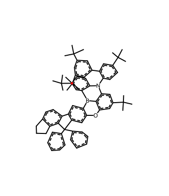 CC(C)(C)c1cc(-c2cc(C(C)(C)C)ccc2N2c3ccc(C(C)(C)C)cc3B3c4cc5c(cc4Oc4cc(C(C)(C)C)cc2c43)C(c2ccccc2)(c2ccccc2)c2c-5ccc3c2CCC3)cc(C(C)(C)C)c1